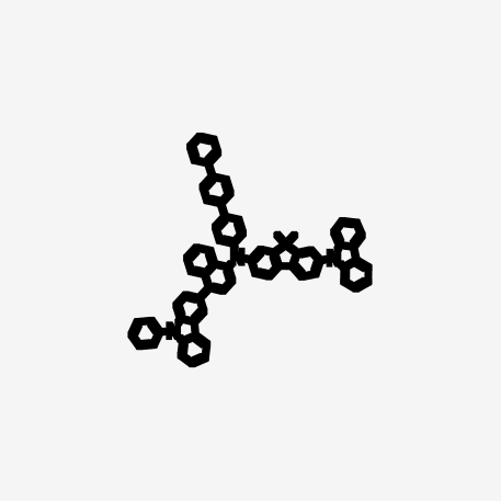 CC1(C)c2cc(N(c3ccc(-c4ccc(-c5ccccc5)cc4)cc3)c3ccc(-c4ccc5c(c4)c4ccccc4n5-c4ccccc4)c4ccccc34)ccc2-c2ccc(-n3c4ccccc4c4ccccc43)cc21